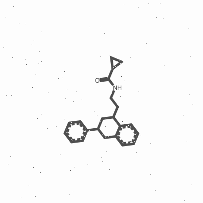 O=C(NCCC1CC(c2ccccc2)Cc2ccccc21)C1CC1